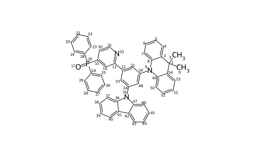 CC1(C)c2ccccc2N(c2cc(-c3cc(P(=O)(c4ccccc4)c4ccccc4)ccn3)cc(-n3c4ccccc4c4ccccc43)c2)c2ccccc21